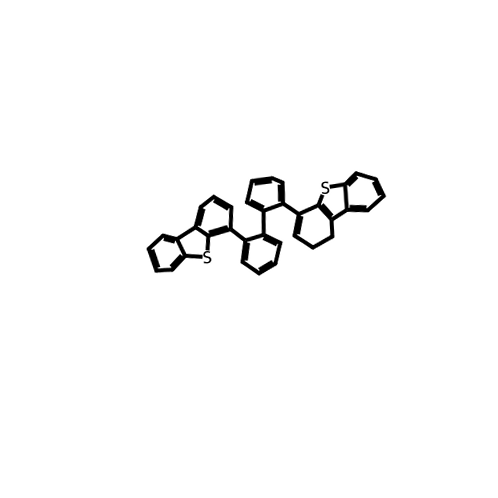 C1=C(c2ccccc2-c2ccccc2-c2cccc3c2sc2ccccc23)c2sc3ccccc3c2CC1